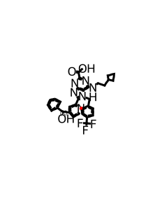 O=C(O)c1nc(NCCC2CCC2)c2c(n1)nc(-c1cc([C@H](O)c3ccccc3)ccn1)n2Cc1ccc(C(F)(F)F)cc1